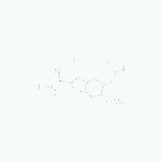 COc1cc2sc(C(=N)NO)cc2cc1OC(F)F.Cl